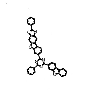 c1ccc(-c2nc(-c3ccc4c(c3)oc3ccccc34)nc(-c3ccc4c(c3)oc3cc5oc(-c6ccccc6)nc5cc34)n2)cc1